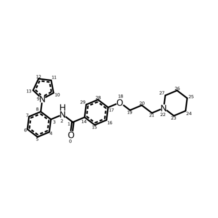 O=C(Nc1ccccc1-n1cccc1)c1ccc(OCCCN2CCCCC2)cc1